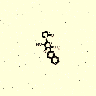 CC1(c2ccc3ccccc3n2)OC(N2CCCC2=O)=C(O)C1=O